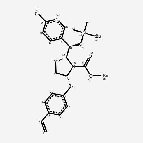 C=Cc1ccc(C[C@@H]2CC[C@H]([C@H](O[Si](C)(C)C(C)(C)C)c3ccc(Cl)nc3)N2C(=O)OC(C)(C)C)cc1